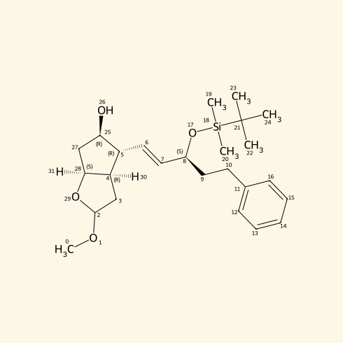 COC1C[C@@H]2[C@@H](C=C[C@H](CCc3ccccc3)O[Si](C)(C)C(C)(C)C)[C@H](O)C[C@@H]2O1